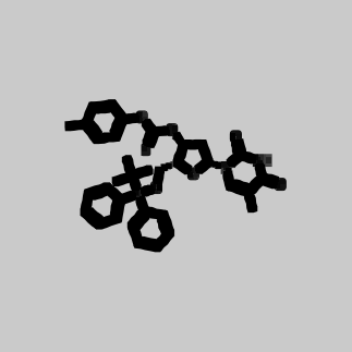 Cc1ccc(OC(=S)O[C@H]2C[C@H](n3cc(C)c(=O)[nH]c3=O)O[C@@H]2CO[Si](c2ccccc2)(c2ccccc2)C(C)(C)C)cc1